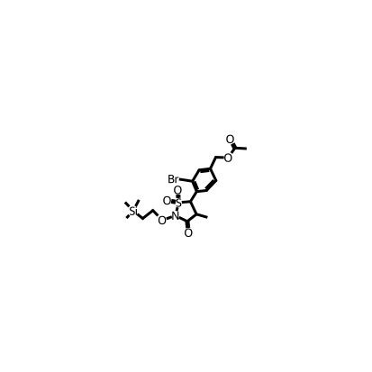 CC(=O)OCc1ccc(C2C(C)C(=O)N(OCC[Si](C)(C)C)S2(=O)=O)c(Br)c1